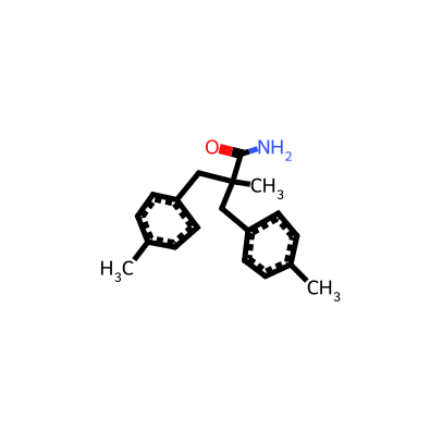 Cc1ccc(CC(C)(Cc2ccc(C)cc2)C(N)=O)cc1